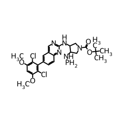 COc1cc(OC)c(Cl)c(-c2ccc3nc(NC4CN(C(=O)OC(C)(C)C)CC4NP)ncc3c2)c1Cl